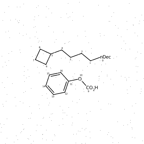 CCCCCCCCCCCCCCC1CCC1.O=C(O)Oc1ccccc1